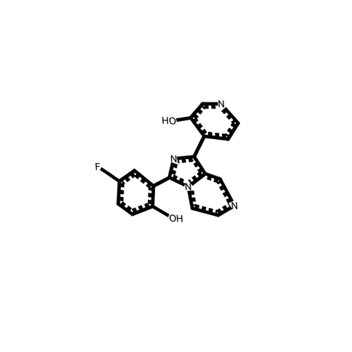 Oc1cnccc1-c1nc(-c2cc(F)ccc2O)n2ccncc12